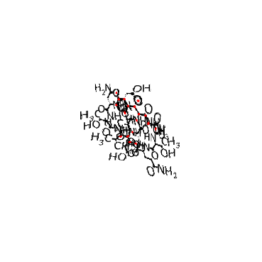 CC(=O)N[C@H](C(=O)N[C@@H](CCC(N)=O)C(=O)N[C@@H](CC(=O)O)C(=O)N[C@@H](C)C(=O)N[C@@H](CCC(=O)O)C(=O)N[C@@H](CC(=O)O)C(=O)N[C@@H](CC(N)=O)C(=O)N[C@H](C(=O)N[C@H](C(=O)N[C@@H](CO)C(=O)N[C@@H](Cc1ccccc1)C(N)=O)C(C)C)[C@@H](C)O)[C@@H](C)O